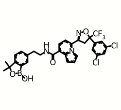 CC1(C)OB(O)c2cc(CCNC(=O)c3ccc(C4=NOC(c5cc(Cl)cc(Cl)c5)(C(F)(F)F)C4)n4cccc34)ccc21